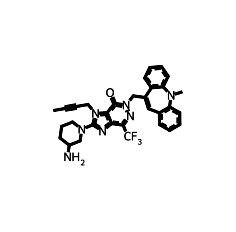 CC#CCn1c(N2CCCC(N)C2)nc2c(C(F)(F)F)nn(CC3=Cc4ccccc4N(C)c4ccccc43)c(=O)c21